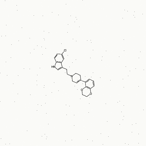 Clc1ccc2[nH]cc(CCN3CC=C(c4cccc5c4OCCO5)CC3)c2c1